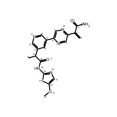 C=C(C(N)=O)c1cnc(-c2cncc(C(C)C(=O)Nc3ncc(OC)s3)c2)cn1